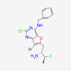 C[C@H](F)[C@H](N)Cc1oc2c(NCc3ccccc3)nc(Cl)nc2c1Br